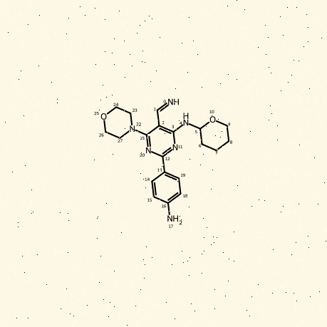 N=Cc1c(NC2CCCCO2)nc(-c2ccc(N)cc2)nc1N1CCOCC1